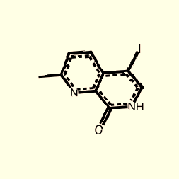 Cc1ccc2c(I)c[nH]c(=O)c2n1